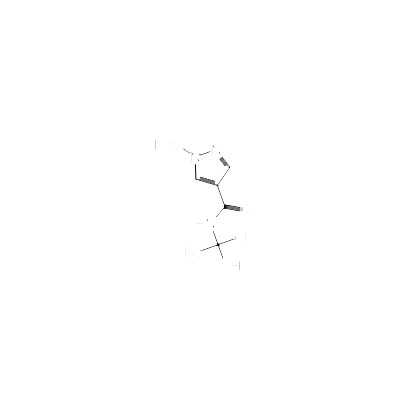 CCC(C)C(C)(C)NC(=O)c1cnn(C)c1